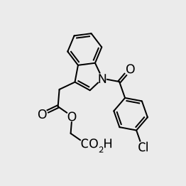 O=C(O)COC(=O)Cc1cn(C(=O)c2ccc(Cl)cc2)c2ccccc12